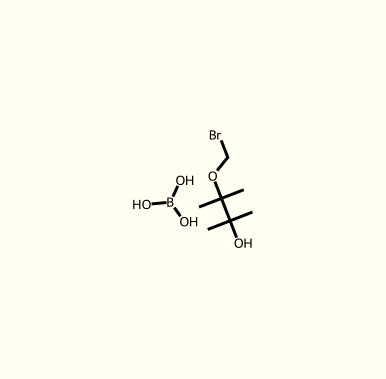 CC(C)(O)C(C)(C)OCBr.OB(O)O